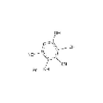 CC(C)Nc1c(C#N)cc(O)c(O)c1C#N